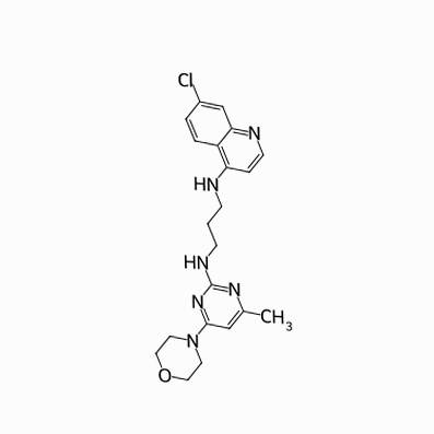 Cc1cc(N2CCOCC2)nc(NCCCNc2ccnc3cc(Cl)ccc23)n1